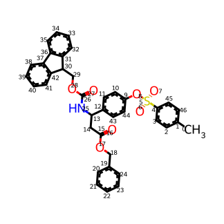 Cc1ccc(S(=O)(=O)Oc2ccc(C(CC(=O)OCc3ccccc3)NC(=O)OCC3c4ccccc4-c4ccccc43)cc2)cc1